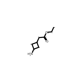 CCOC(=O)CC1CC(N)C1